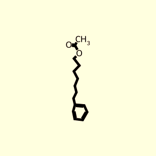 CC(=O)OCCCCCCCc1ccccc1